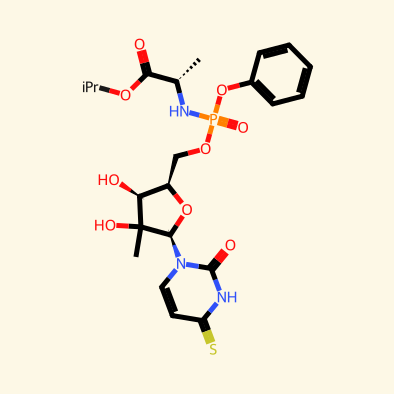 CC(C)OC(=O)[C@H](C)NP(=O)(OC[C@H]1O[C@@H](n2ccc(=S)[nH]c2=O)C(C)(O)[C@H]1O)Oc1ccccc1